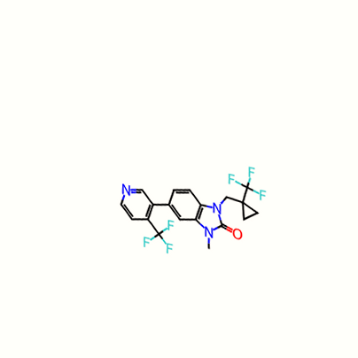 Cn1c(=O)n(CC2(C(F)(F)F)CC2)c2ccc(-c3cnccc3C(F)(F)F)cc21